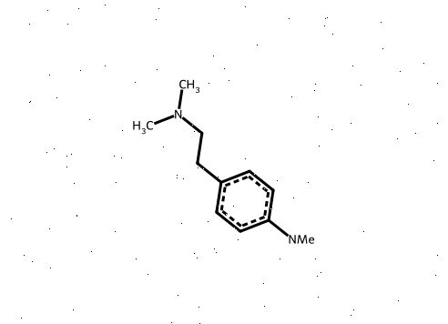 CNc1ccc(CCN(C)C)cc1